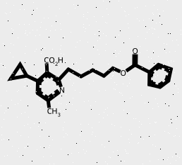 Cc1cc(C2CC2)c(C(=O)O)c(CCCCCOC(=O)c2ccccc2)n1